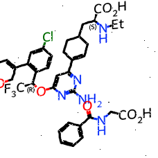 CCN[C@@H](CC1CC=C(c2cc(O[C@H](c3ccc(Cl)cc3C3=CCCOC3)C(F)(F)F)nc(N)n2)CC1)C(=O)O.O=C(O)CNC(=O)c1ccccc1